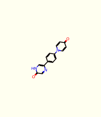 O=c1ccn(-c2ccc(-c3c[nH]c(=O)cn3)cc2)cc1